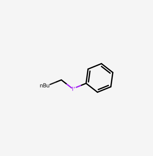 CCCCC[I+]c1ccccc1